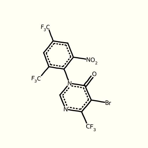 O=c1c(Br)c(C(F)(F)F)ncn1-c1c([N+](=O)[O-])cc(C(F)(F)F)cc1C(F)(F)F